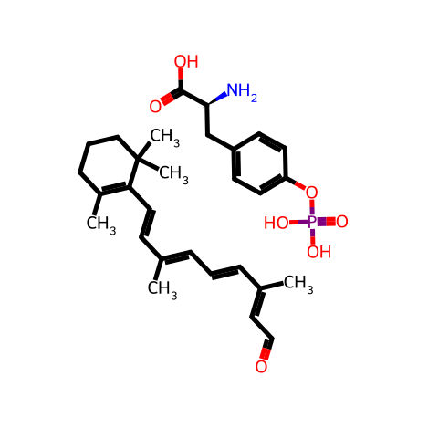 CC(C=CC=C(C)C=CC1=C(C)CCCC1(C)C)=CC=O.N[C@@H](Cc1ccc(OP(=O)(O)O)cc1)C(=O)O